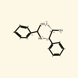 CC(N[C@@H](c1ccccc1)[C@@H](O)C(=O)O)c1ccccc1